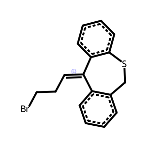 BrCC/C=C1\c2ccccc2CSc2ccccc21